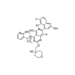 CCc1c(F)ccc2cc(O)cc(-c3nc(O)c4c(NC(C)c5cccnc5N)nc(OCC5(C#N)CCOCC5)nc4c3F)c12